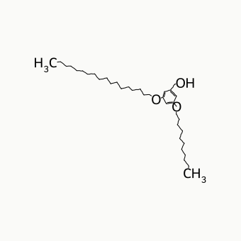 CCCCCCCCCCCCCCCCCCOc1cc(CO)cc(OCCCCCCCCCCC)c1